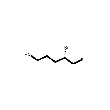 OCCC[C@H](Br)CBr